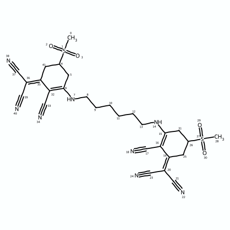 CS(=O)(=O)C1CC(NCCCCCCNC2=C(C#N)C(=C(C#N)C#N)CC(S(C)(=O)=O)C2)=C(C#N)C(=C(C#N)C#N)C1